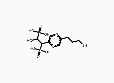 O=P(O)(O)C(O)C(c1cnc(CCCS)cn1)P(=O)(O)O